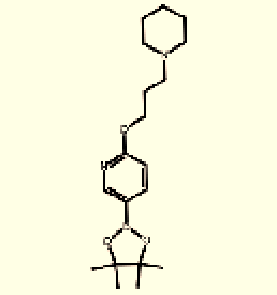 CC1(C)OB(c2ccc(OCCCN3CCCCC3)nc2)OC1(C)C